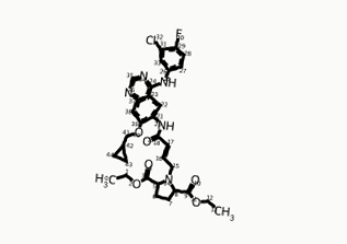 CCOC(=O)C1CCC(C(=O)OCC)N1CC=CC(=O)Nc1cc2c(Nc3ccc(F)c(Cl)c3)ncnc2cc1OCC1CC1